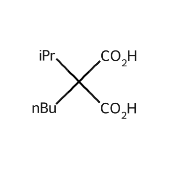 CCCCC(C(=O)O)(C(=O)O)C(C)C